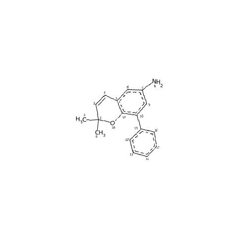 CC1(C)C=Cc2cc(N)cc(-c3ccccc3)c2O1